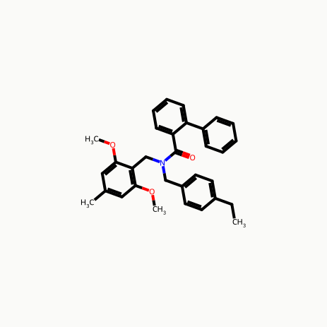 CCc1ccc(CN(Cc2c(OC)cc(C)cc2OC)C(=O)c2ccccc2-c2ccccc2)cc1